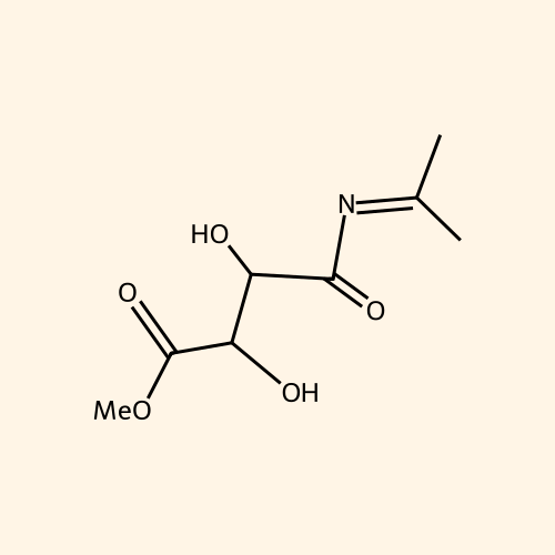 COC(=O)C(O)C(O)C(=O)N=C(C)C